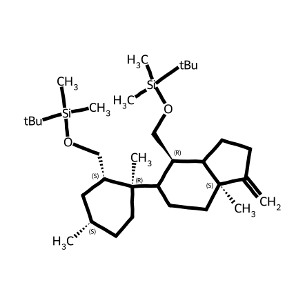 C=C1CCC2[C@H](CO[Si](C)(C)C(C)(C)C)C([C@@]3(C)CC[C@H](C)C[C@@H]3CO[Si](C)(C)C(C)(C)C)CC[C@]12C